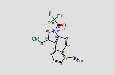 N#Cc1cccc2c3c(ccc12)N(C(=O)C(F)(F)F)CC3CCl